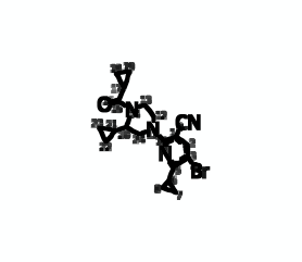 N#Cc1cc(Br)c(C2CC2)nc1N1CCN(C(=O)C2CC2)C(C2CC2)C1